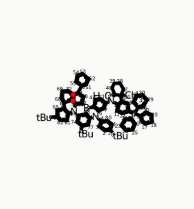 CC(C)(C)c1ccc(N2c3cc(N4c5ccc([Si](c6ccccc6)(c6ccccc6)c6ccccc6)cc5C5(C)CCCC[C@]45C)ccc3B3c4cc(-c5ccccc5)ccc4N(c4ccc(C(C)(C)C)cc4-c4ccccc4)c4cc(C(C)(C)C)cc2c43)cc1